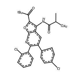 CC(=O)OC(C)C(=O)Nc1c(C(=O)C(C)(C)C)oc2nc(-c3ccccc3Cl)c(-c3ccc(Cl)cc3)cc12